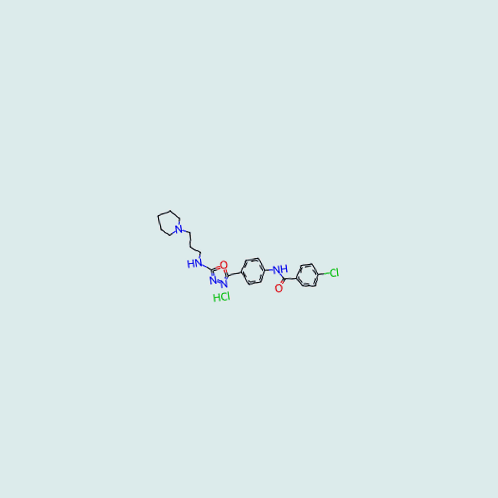 Cl.O=C(Nc1ccc(-c2nnc(NCCCN3CCCCC3)o2)cc1)c1ccc(Cl)cc1